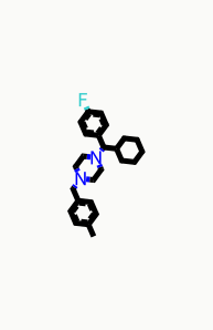 Cc1ccc(CN2CCN(C(c3ccc(F)cc3)C3CCCCC3)CC2)cc1